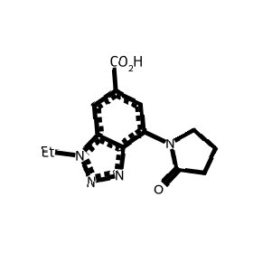 CCn1nnc2c(N3CCCC3=O)cc(C(=O)O)cc21